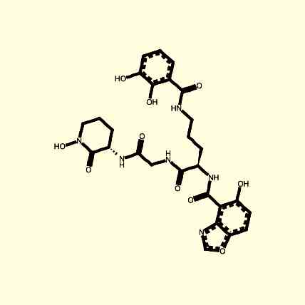 O=C(CNC(=O)[C@@H](CCCNC(=O)c1cccc(O)c1O)NC(=O)c1c(O)ccc2ocnc12)N[C@H]1CCCN(O)C1=O